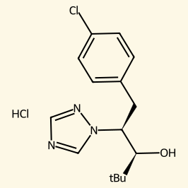 CC(C)(C)[C@H](O)[C@H](Cc1ccc(Cl)cc1)n1cncn1.Cl